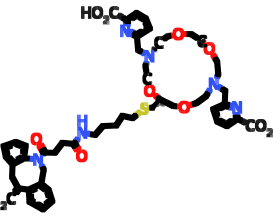 C=C1Cc2ccccc2N(C(=O)CCC(=O)NCCCCCSC[C@@H]2COCCN(Cc3cccc(C(=O)O)n3)CCOCCOCCN(Cc3cccc(C(=O)O)n3)CCO2)Cc2ccccc21